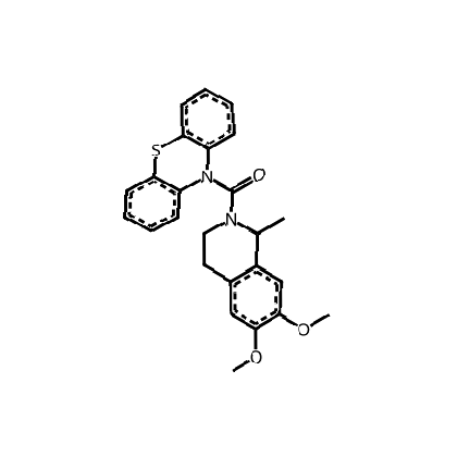 COc1cc2c(cc1OC)C(C)N(C(=O)N1c3ccccc3Sc3ccccc31)CC2